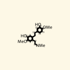 CNCCc1cc(OC)c(O)cc1CCc1ccc(OC)c(O)c1